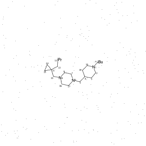 CCC(C)N1CCC(CN2CCN(CC3(CC(C)C)CC3)CC2)CC1